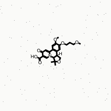 COCCCOc1cc2c(cc1OC)-c1cc(=O)c(C(=O)O)cn1C1[C@@H]2COC1(C)C